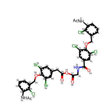 CC(=O)Nc1cccc(COc2c(Cl)cc(C(=O)NCC(=O)OC(=O)Cc3cc(Br)c(OCc4cccc(NC(C)=O)c4Cl)c(Br)c3)cc2Cl)c1Cl